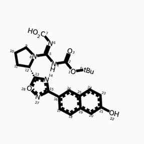 CC(C)(C)OC(=O)N/C(=N/C(=O)O)N1CCC[C@H]1c1nc(-c2ccc3cc(O)ccc3c2)no1